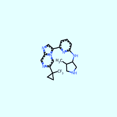 CC1CNCC1Nc1cccc(-c2cnc3cnc(C4(C(F)(F)F)CC4)cn23)n1